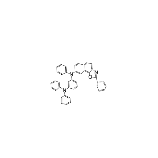 c1ccc(-c2nc3ccc4ccc(N(c5ccccc5)c5cccc(N(c6ccccc6)c6ccccc6)c5)cc4c3o2)cc1